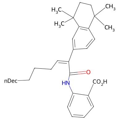 CCCCCCCCCCCCCC=C(C(=O)Nc1ccccc1C(=O)O)c1ccc2c(c1)C(C)(C)CCC2(C)C